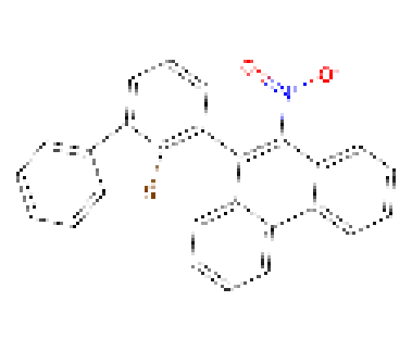 O=[N+]([O-])c1c(-c2cccc3c2sc2ccccc23)c2ccccc2c2ccccc12